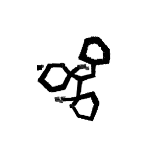 [H+].[SiH3]C1(C(Cc2ccccc2)C2([SiH3])CCCCO2)CCCCO1